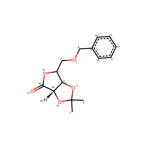 CC1(C)OC2C(COCc3ccccc3)OC(=O)[C@H]2O1